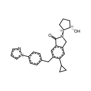 O=C1c2cc(Cc3ccc(-n4cccn4)cc3)c(C3CC3)cc2CN1[C@H]1CCC[C@@H]1O